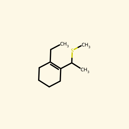 CCC1=C(C(C)SC)CCCC1